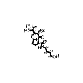 CCCC[C@@H](C(=O)N1CCC[C@H]1C(=O)NCCCCO)[C@H](F)C(=O)NO